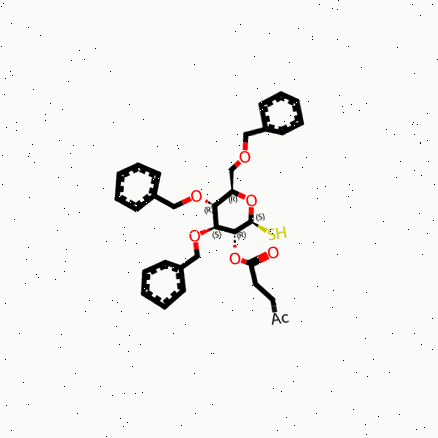 CC(=O)CCC(=O)O[C@@H]1[C@@H](OCc2ccccc2)[C@H](OCc2ccccc2)[C@@H](COCc2ccccc2)O[C@H]1S